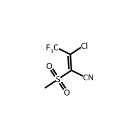 CS(=O)(=O)C(C#N)=C(Cl)C(F)(F)F